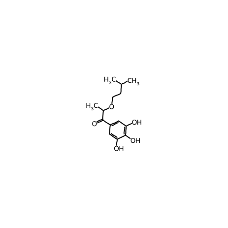 CC(C)CCOC(C)C(=O)c1cc(O)c(O)c(O)c1